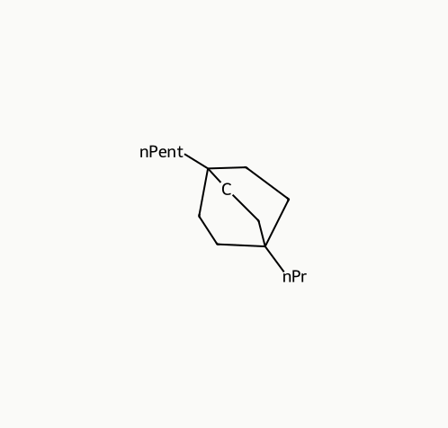 CCCCCC12CCC(CCC)(CC1)CC2